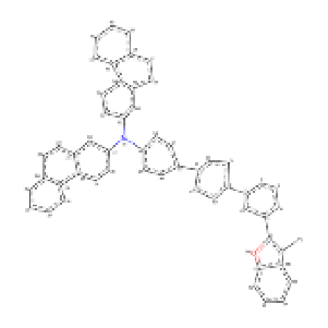 Cc1c(-c2cccc(-c3ccc(-c4ccc(N(c5ccc6c(ccc7ccccc76)c5)c5ccc6c(ccc7ccccc76)c5)cc4)cc3)c2)oc2ccccc12